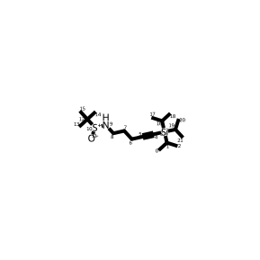 CC(C)[Si](C#CCCCN[S+]([O-])C(C)(C)C)(C(C)C)C(C)C